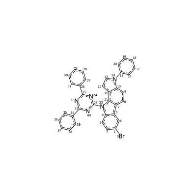 Brc1ccc2c(c1)c1ccc3c(ccn3-c3ccccc3)c1n2-c1nc(-c2ccccc2)nc(-c2ccccc2)n1